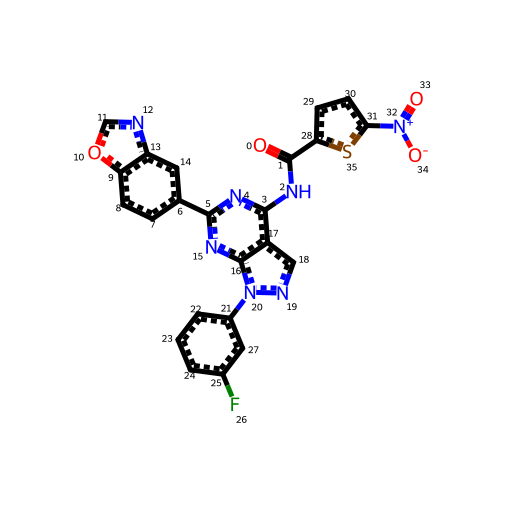 O=C(Nc1nc(-c2ccc3ocnc3c2)nc2c1cnn2-c1cccc(F)c1)c1ccc([N+](=O)[O-])s1